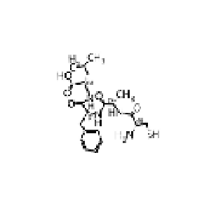 CC(C)C[C@H](NC(=O)[C@H](Cc1ccccc1)NC(=O)[C@H](C)NC(=O)[C@@H](N)CS)C(=O)O